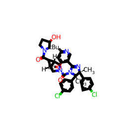 CCOc1cc(C(C)(C)C)ncc1C1=N[C@@](C)(c2ccc(Cl)cc2)[C@@](C)(c2ccc(Cl)cc2)N1C(=O)N1C[C@@H]2C(C(=O)N3CCC(O)C3)[C@@H]2C1